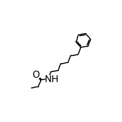 CCC(=O)NCCCCCCc1ccccc1